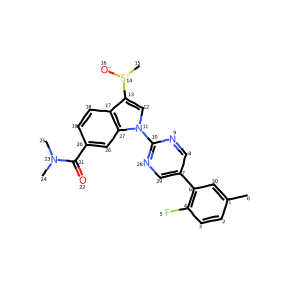 Cc1ccc(F)c(-c2cnc(-n3cc([S+](C)[O-])c4ccc(C(=O)N(C)C)cc43)nc2)c1